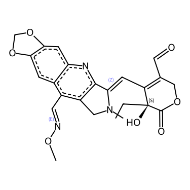 CC[C@@]1(O)C(=O)OCC(C=O)=C1/C=C1/c2nc3cc4c(cc3c(/C=N/OC)c2CN1C)OCO4